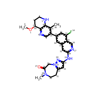 CO[C@H]1CCNc2c1ncc(-c1cc(F)c3cnc(Nc4cc5n(n4)CC(=O)N(C)CC5)cc3c1)c2C